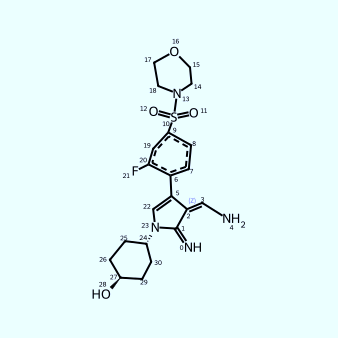 N=C1/C(=C\N)C(c2ccc(S(=O)(=O)N3CCOCC3)cc2F)=CN1[C@H]1CC[C@H](O)CC1